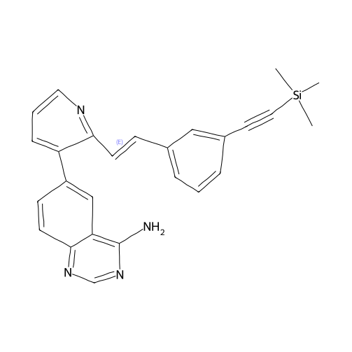 C[Si](C)(C)C#Cc1cccc(/C=C/c2ncccc2-c2ccc3ncnc(N)c3c2)c1